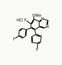 COc1c(F)c(-c2ccc(F)cc2)c(-c2ccc(F)cc2)c2cncnc12.Cl